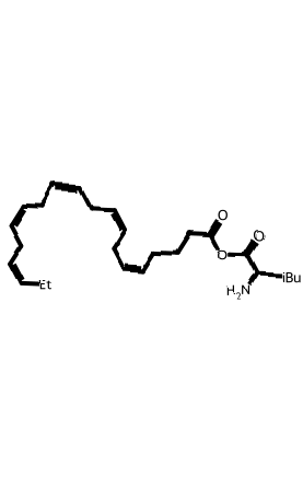 CC/C=C\C/C=C\C/C=C\C/C=C\C/C=C\CCCC(=O)OC(=O)C(N)C(C)CC